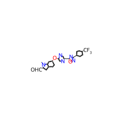 Cn1c(C=O)cc2ccc(Oc3cnc(-c4nc(-c5ccc(C(F)(F)F)cc5)no4)cn3)cc21